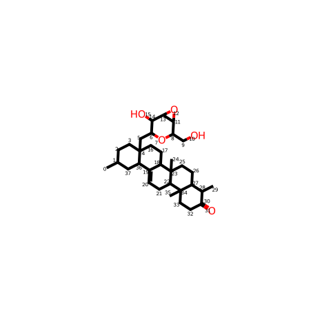 CC1CCC2(CC3OC(CO)C4OC4C3O)CCC3C(=CCC4C3(C)CCC3C(C)C(=O)CCC34C)C2C1